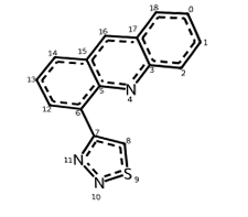 c1ccc2nc3c(-c4csnn4)cccc3cc2c1